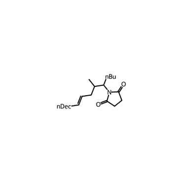 CCCCCCCCCC/C=C/CC(C)C(CCCC)N1C(=O)CCC1=O